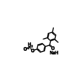 Cc1cc(C)c(C(=O)c2ccc(O[PH2]=O)cc2)c(C)c1.[NaH]